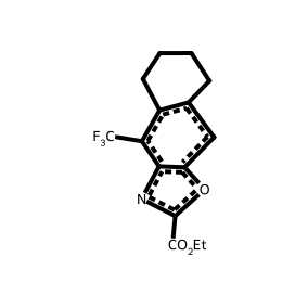 CCOC(=O)c1nc2c(C(F)(F)F)c3c(cc2o1)CCCC3